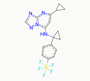 FS(F)(F)(F)(F)c1ccc(C2(Nc3cc(C4CC4)nc4ncnn34)CC2)cc1